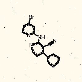 N#Cc1c(-c2ccccc2)ccnc1Nc1cc(Br)ccn1